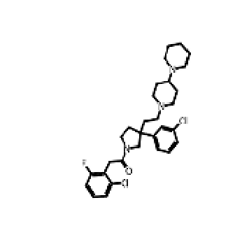 O=C(Cc1c(F)cccc1Cl)N1CCC(CCN2CCC(N3CCCCC3)CC2)(c2cccc(Cl)c2)C1